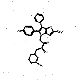 CN1CCCC(CN(C)C(=O)Cn2c(-c3ccc(Cl)cc3)c(-c3ccccc3)c3sc(C(=O)O)cc32)C1